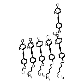 CCCCCCOc1ccc(C#Cc2cnc(Cl)cn2)cc1.CCCCCOc1ccc(C#Cc2cnc(Cl)cn2)cc1.CCCCOc1ccc(C#Cc2cnc(Cl)cn2)cc1.CCCOc1ccc(C#Cc2cnc(Cl)cn2)cc1.CCOc1ccc(C#Cc2cnc(Cl)cn2)cc1.COc1ccc(C#Cc2cnc(Cl)cn2)cc1